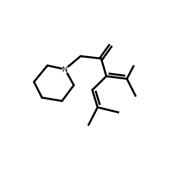 C=C(CN1CCCCC1)C(C=C(C)C)=C(C)C